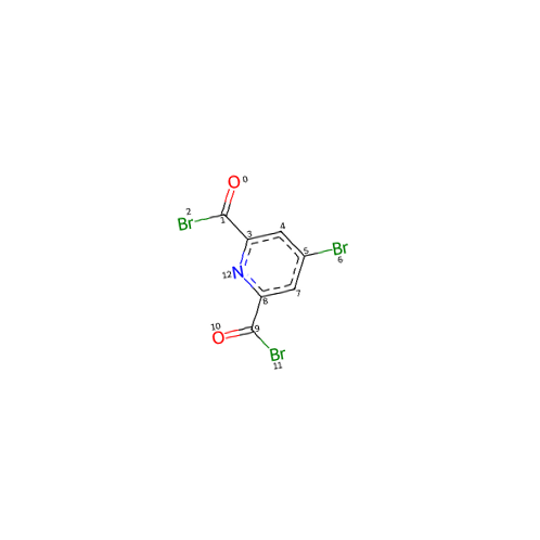 O=C(Br)c1cc(Br)cc(C(=O)Br)n1